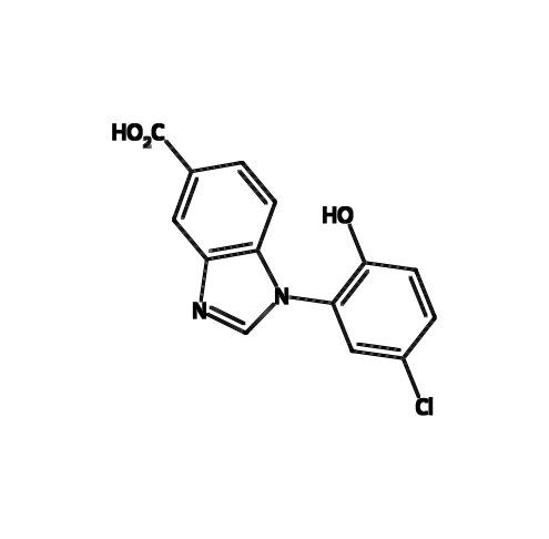 O=C(O)c1ccc2c(c1)ncn2-c1cc(Cl)ccc1O